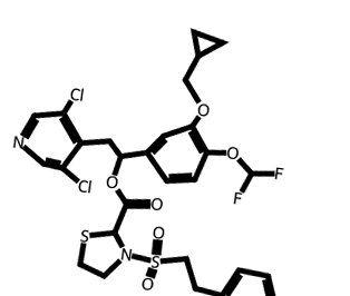 O=C(OC(Cc1c(Cl)cncc1Cl)c1ccc(OC(F)F)c(OCC2CC2)c1)C1SCCN1S(=O)(=O)CCc1ccccc1